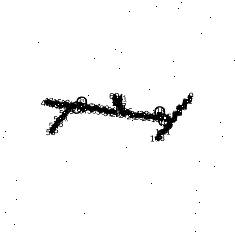 CCCCCCCCC(CCCCCC)COC(=O)CCCCCCCCCN(CCCCCCCCCC(=O)OCC(CCCCCC)CCCCCCCC)CCN(C)C